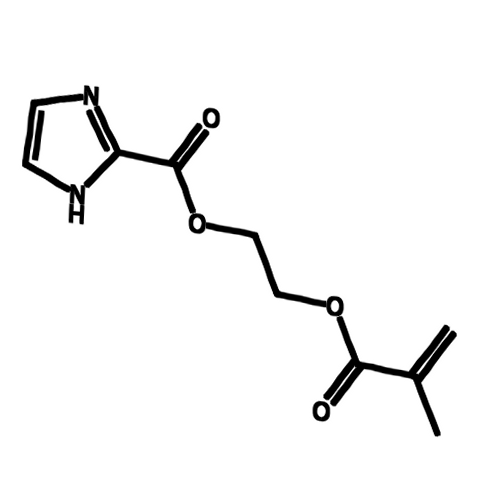 C=C(C)C(=O)OCCOC(=O)c1ncc[nH]1